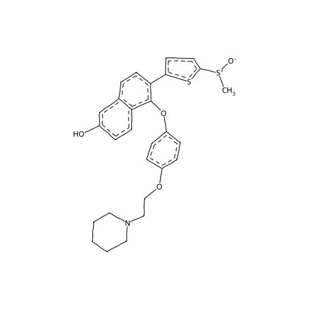 C[S+]([O-])c1ccc(-c2ccc3cc(O)ccc3c2Oc2ccc(OCCN3CCCCC3)cc2)s1